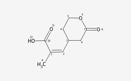 CC(=CC1CCOC(=O)C1)C(=O)O